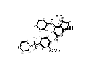 COc1cc(S(=O)(=O)N2CCOCC2)ccc1Nc1cc(NC2CCCCC2)c2c(C(F)(F)F)c[nH]c2n1